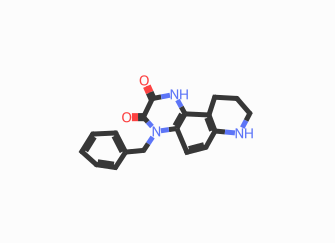 O=c1[nH]c2c3c(ccc2n(Cc2ccccc2)c1=O)NCCC3